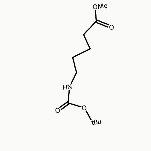 COC(=O)CCCCNC(=O)OC(C)(C)C